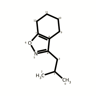 CC(C)Cc1noc2c1CCCC2